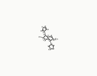 Cc1sc2c(-c3ccsc3)c(I)sc2c1-c1ccsc1